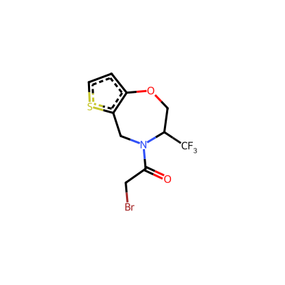 O=C(CBr)N1Cc2sccc2OCC1C(F)(F)F